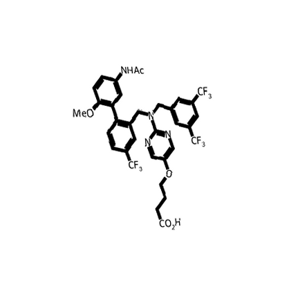 COc1ccc(NC(C)=O)cc1-c1ccc(C(F)(F)F)cc1CN(Cc1cc(C(F)(F)F)cc(C(F)(F)F)c1)c1ncc(OCCCC(=O)O)cn1